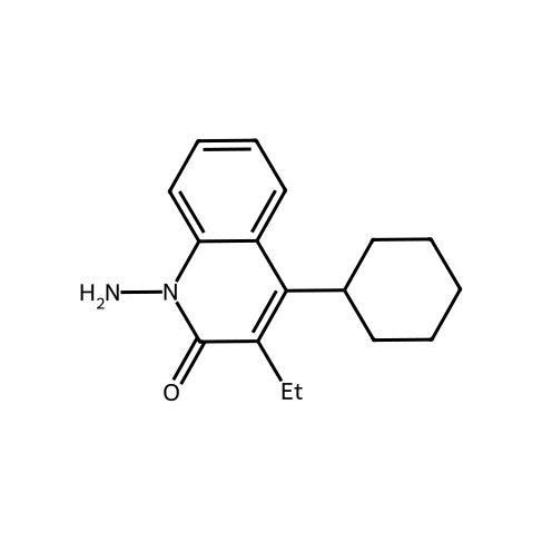 CCc1c(C2CCCCC2)c2ccccc2n(N)c1=O